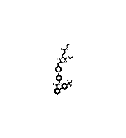 CCOC(=O)CC[C@H](NC(=O)CC1CCN(c2ccc(NC(=O)c3ccccc3-c3ccc(C(F)(F)F)cc3)cc2)CC1)C(=O)OCC